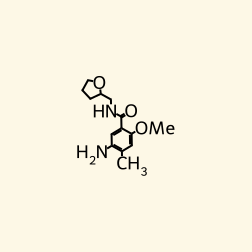 COc1cc(C)c(N)cc1C(=O)NCC1CCCO1